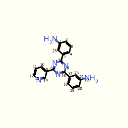 Nc1cccc(-c2nc(-c3cccnc3)nc(-c3cccc(N)c3)n2)c1